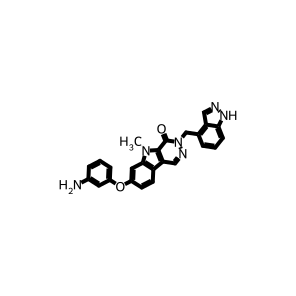 Cn1c2cc(Oc3cccc(N)c3)ccc2c2cnn(Cc3cccc4[nH]ncc34)c(=O)c21